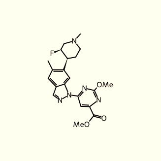 COC(=O)c1cc(-n2ncc3cc(C)c([C@@H]4CCN(C)C[C@@H]4F)cc32)nc(OC)n1